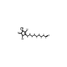 C=CCCCCCCCCC1=C(C)C(=O)C(C)C1C